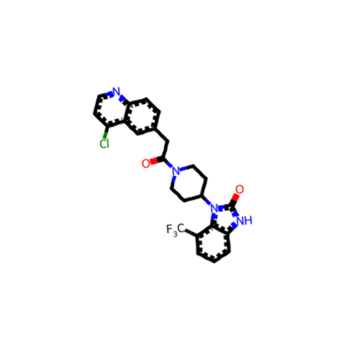 O=C(Cc1ccc2nccc(Cl)c2c1)N1CCC(n2c(=O)[nH]c3cccc(C(F)(F)F)c32)CC1